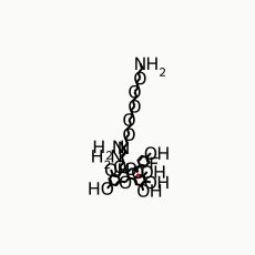 NCCOCCOCCOCCOCCOCCN(N)/C=C(\N)COC1c2c(O)cc(O)cc2OC(c2cc(O)c(O)c(O)c2)C1OC(=O)c1ccc(O)c(F)c1